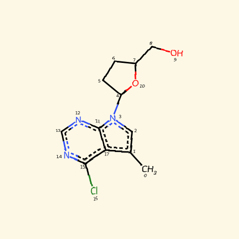 Cc1cn(C2CCC(CO)O2)c2ncnc(Cl)c12